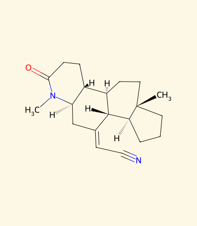 CN1C(=O)CC[C@@H]2[C@H]3CC[C@]4(C)CCC[C@H]4[C@@H]3/C(=C\C#N)C[C@H]21